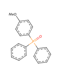 COc1ccc(P(=O)(c2ccccc2)c2ccccc2)cc1